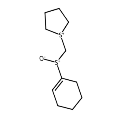 [O-][S+](C[S+]1CCCC1)C1=CCCCC1